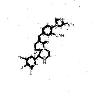 COc1cc(C=C2CC[C@@H]3C(c4cc(F)c(F)c(F)c4)NCCN3C2=O)ccc1-n1cnc(C)c1